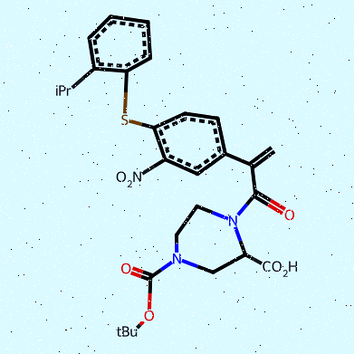 C=C(C(=O)N1CCN(C(=O)OC(C)(C)C)CC1C(=O)O)c1ccc(Sc2ccccc2C(C)C)c([N+](=O)[O-])c1